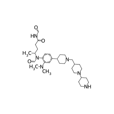 CC(CCC(=O)NC=O)N(C=O)c1ccc(C2CCN(CC3CCN(C4CCNCC4)CC3)CC2)cc1N(C)C